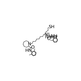 CCCCC[N+](CCCS)(CCCCCCCCN1CCCCCCC1C(=O)Nc1c(C)cccc1C)CC(=O)Nc1c(C)cccc1C